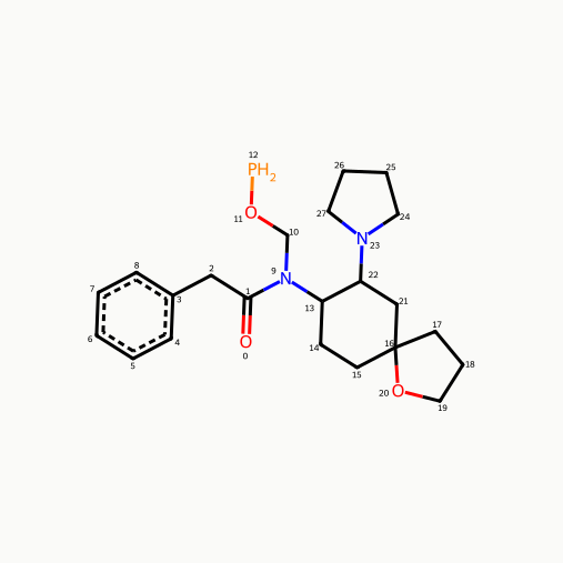 O=C(Cc1ccccc1)N(COP)C1CCC2(CCCO2)CC1N1CCCC1